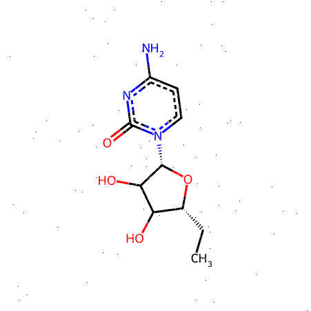 CC[C@H]1O[C@@H](n2ccc(N)nc2=O)C(O)C1O